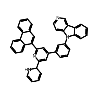 C1=CNC(c2cc(-c3cccc(-n4c5ccccc5c5cnccc54)c3)cc(-c3cc4ccccc4c4ccccc34)n2)C=C1